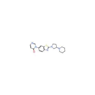 O=c1ccncn1-c1ccc2nc(N3CC[C@@H](N4CCCCC4)C3)sc2c1